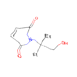 CCC(CC)(CO)N1C(=O)C=CC1=O